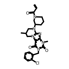 C=CC(=O)N1CCCC(N2CC(C)Cn3c2nc2c3c(=O)n(Cc3ccccc3Cl)c(=O)n2C)C1